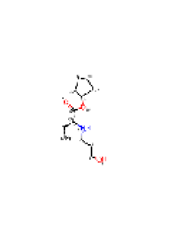 CC(C)C[C@H](NCCCO)C(=O)OC1CCCC1